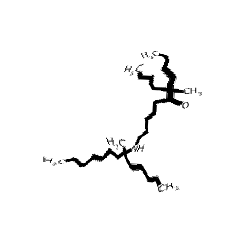 CCCCCCCC(C)(CCCCC)NCCCCCC(=O)C(C)(CCCC)CCCC